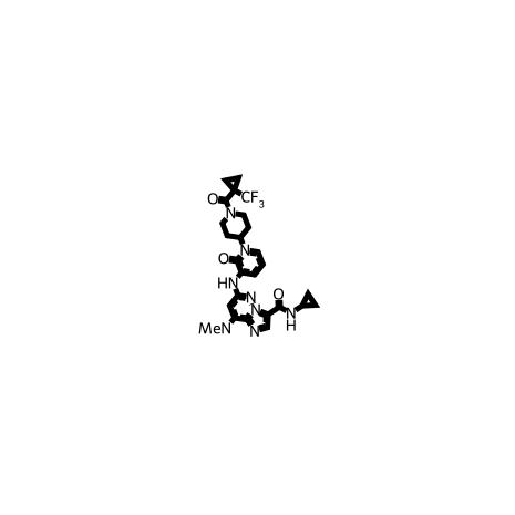 CNc1cc(Nc2cccn(C3CCN(C(=O)C4(C(F)(F)F)CC4)CC3)c2=O)nn2c(C(=O)NC3CC3)cnc12